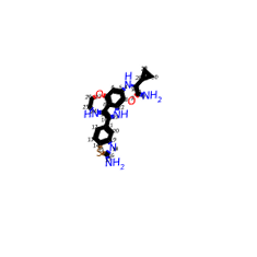 NC(=O)[C@@H](Nc1cc2c3c(c(-c4ccc5sc(N)nc5c4)[nH]c3c1)NCCO2)C1CC1